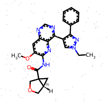 CCn1cc(-c2ncnc3cc(OC)c(NC(=O)C45COC[C@H]4C5)nc23)c(-c2ccccc2)n1